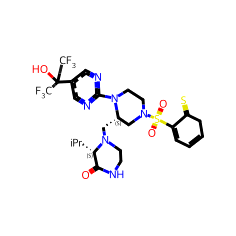 CC(C)[C@H]1C(=O)NCCN1C[C@H]1CN(S(=O)(=O)C2=CC=CCC2=S)CCN1c1ncc(C(O)(C(F)(F)F)C(F)(F)F)cn1